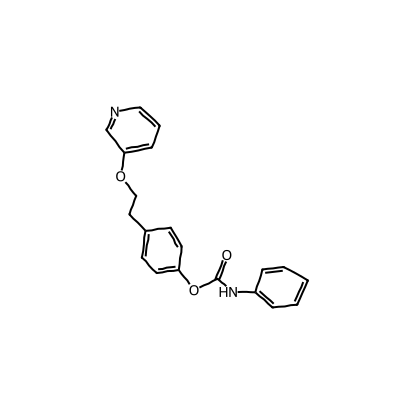 O=C(Nc1ccccc1)Oc1ccc(CCOc2cccnc2)cc1